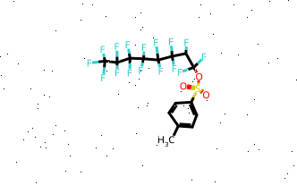 Cc1ccc(S(=O)(=O)OC(F)(F)C(F)C(F)(F)C(F)(F)C(F)(F)C(F)(F)C(F)(F)C(F)(F)F)cc1